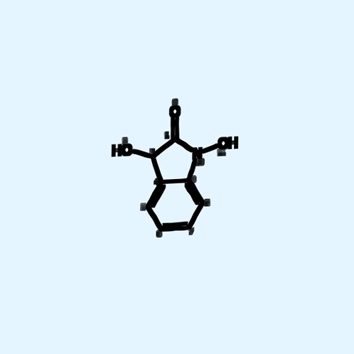 O=C1C(O)c2ccccc2N1O